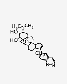 CN(C)[C@H]1C[C@@]23CC[C@@]4(O2)C(=CC[C@]2(C)C(c5ccc6nnccc6c5)=CCC24)C2CC23[C@@H](O)[C@@H]1O